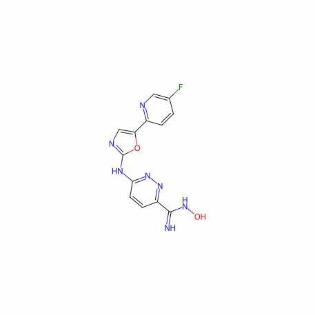 N=C(NO)c1ccc(Nc2ncc(-c3ccc(F)cn3)o2)nn1